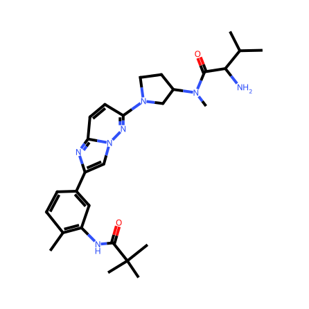 Cc1ccc(-c2cn3nc(N4CCC(N(C)C(=O)C(N)C(C)C)C4)ccc3n2)cc1NC(=O)C(C)(C)C